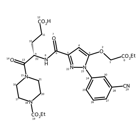 CCOC(=O)COc1cc(C(=O)N[C@@H](CCC(=O)O)C(=O)N2CCN(C(=O)OCC)CC2)nn1-c1cccc(C#N)c1